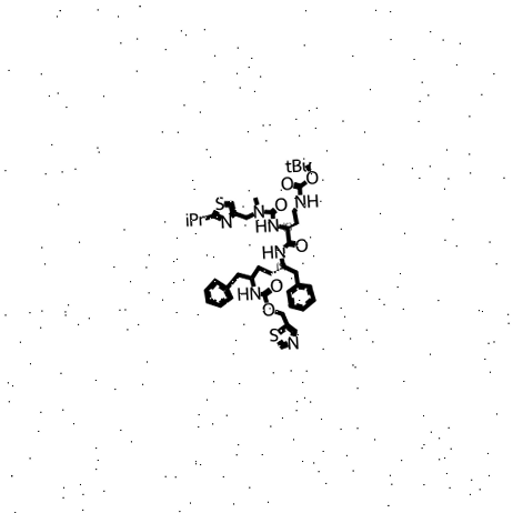 CC(C)c1nc(CN(C)C(=O)N[C@@H](CCNC(=O)OC(C)(C)C)C(=O)N[C@@H](CCC(Cc2ccccc2)NC(=O)OCc2cncs2)Cc2ccccc2)cs1